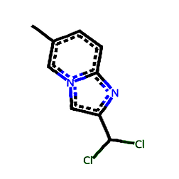 Cc1ccc2nc(C(Cl)Cl)cn2c1